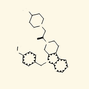 O=C(O)C1CCN(CC(=O)N2CCc3c(n(Cc4ccc(OC(F)(F)F)cc4)c4ncccc34)C2)CC1